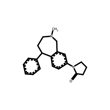 CN1CCC(c2ccccc2)c2ccc(N3CCCC3=O)cc2C1